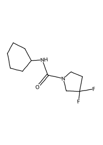 O=C(NC1CCCCC1)N1CCC(F)(F)C1